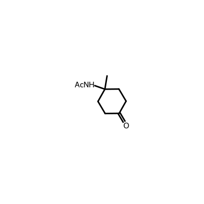 CC(=O)NC1(C)CCC(=O)CC1